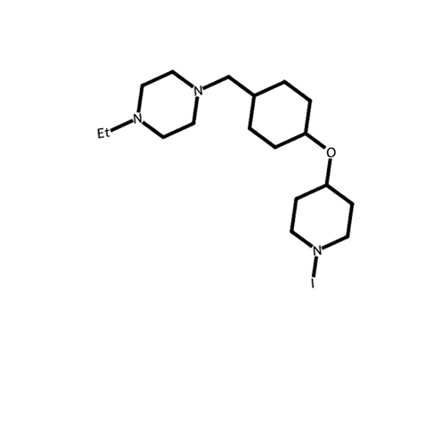 CCN1CCN(CC2CCC(OC3CCN(I)CC3)CC2)CC1